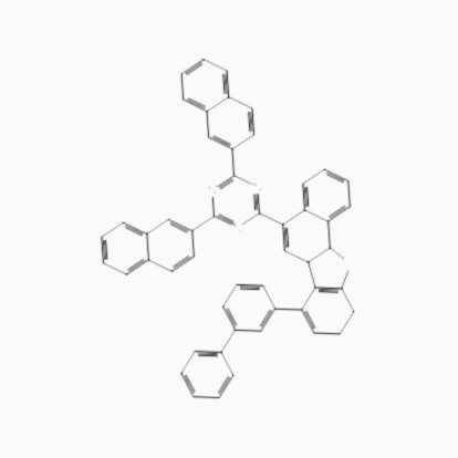 C1=C(c2cccc(-c3ccccc3)c2)C2=C(CC1)OC1c3ccccc3C(c3nc(-c4ccc5ccccc5c4)nc(-c4ccc5ccccc5c4)n3)=CC21